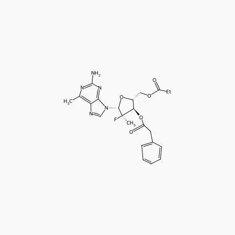 CCC(=O)OC[C@H]1O[C@@H](n2cnc3c(C)nc(N)nc32)[C@](C)(F)[C@@H]1OC(=O)Cc1ccccc1